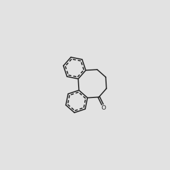 O=C1CCCc2ccccc2-c2ccccc21